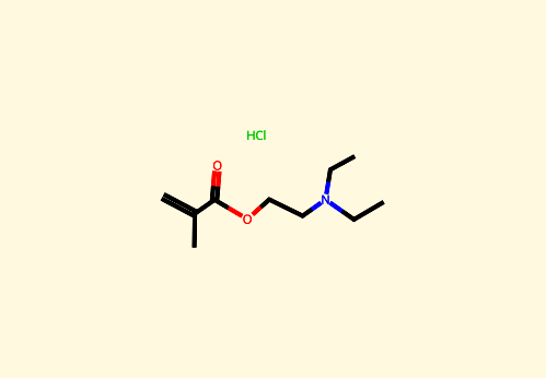 C=C(C)C(=O)OCCN(CC)CC.Cl